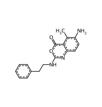 Cc1c(N)ccc2nc(NCCc3ccccc3)oc(=O)c12